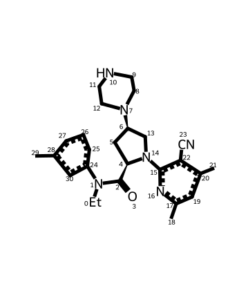 CCN(C(=O)[C@H]1C[C@@H](N2CCNCC2)CN1c1nc(C)cc(C)c1C#N)c1cccc(C)c1